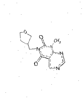 Cn1c(=O)n(CC2CCOC2)c(=O)c2cncnc21